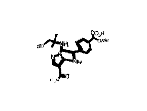 COC(C(=O)O)c1ccc(-c2[nH]c3c(C(N)=O)cnn3c2NC(C)(C)CC(C)(C)C)cc1